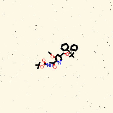 CCOc1cc(CO[Si](c2ccccc2)(c2ccccc2)C(C)(C)C)cnc1C(=O)CNC(=O)OC(C)(C)C